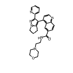 O=C(NCCN1CCOCC1)c1ccc2nccc(-c3c(-c4ccccn4)nn4c3CCC4)c2c1